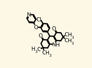 CC1(C)CC(=O)C2=C(C1)NC1=C(C(=O)CC(C)(C)C1)C2c1ccc(Cl)c(Oc2ccncc2)c1